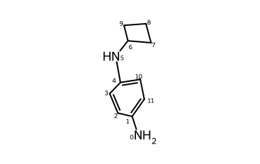 Nc1ccc(NC2CCC2)cc1